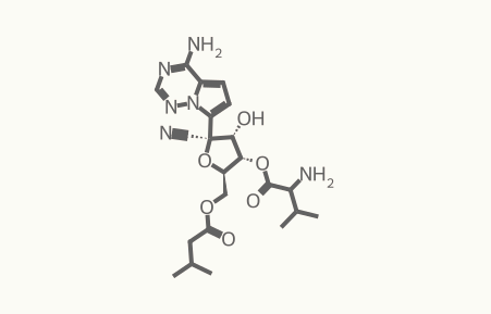 CC(C)CC(=O)OC[C@H]1O[C@@](C#N)(c2ccc3c(N)ncnn23)[C@H](O)[C@@H]1OC(=O)C(N)C(C)C